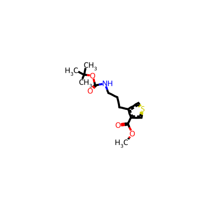 COC(=O)c1cscc1CCCNC(=O)OC(C)(C)C